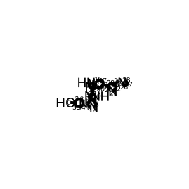 OC1CCN(c2cncc3[nH]c(-c4n[nH]c5ccc(-c6cncc(CN7CCC7)c6)cc45)nc23)CC1